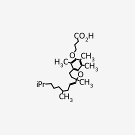 Cc1c(C)c2c(c(C)c1OCCCC(=O)O)CCC(C)(C=CCC(C)CCCC(C)C)O2